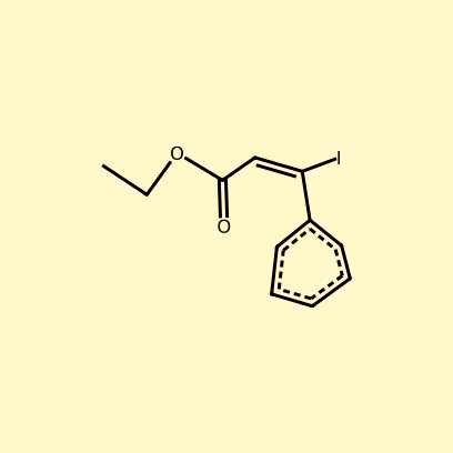 CCOC(=O)/C=C(/I)c1ccccc1